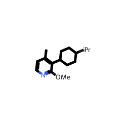 COc1nccc(C)c1C1CCC(C(C)C)CC1